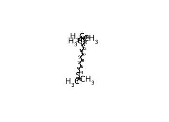 CC(C)SCCCCCCCCCCC[N+](C)(C)C